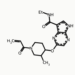 C=CC(=O)N1CCC(Oc2cnc3[nH]cc(C(=O)NCC)c3n2)C(C)C1